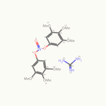 COc1cc(O[N+](=O)Oc2cc(OC)c(OC)c(OC)c2)cc(OC)c1OC.N=C(N)N